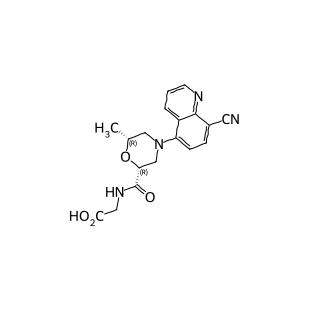 C[C@@H]1CN(c2ccc(C#N)c3ncccc23)C[C@H](C(=O)NCC(=O)O)O1